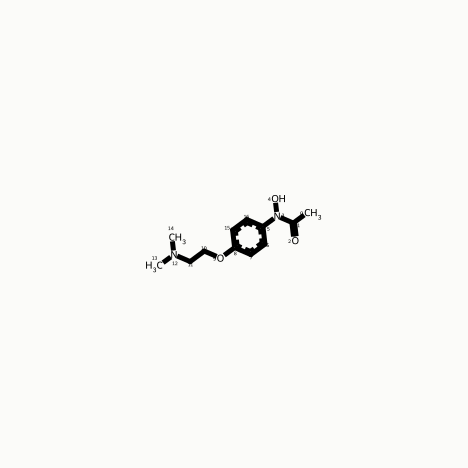 CC(=O)N(O)c1ccc(OCCN(C)C)cc1